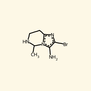 CC1NCCc2nc(Br)c(N)n21